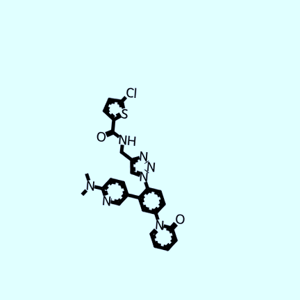 CN(C)c1ccc(-c2cc(-n3ccccc3=O)ccc2-n2cc(CNC(=O)c3ccc(Cl)s3)nn2)cn1